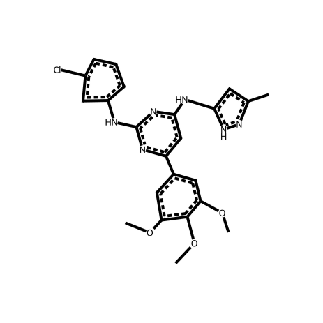 COc1cc(-c2cc(Nc3cc(C)n[nH]3)nc(Nc3cccc(Cl)c3)n2)cc(OC)c1OC